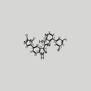 Cc1cc(F)cc(-c2ccnc3[nH]c(-c4n[nH]c5ccc(-c6cnc(C)n6C)cc45)nc23)c1